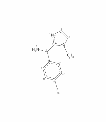 Cn1ccnc1C(N)c1ccc(F)cc1